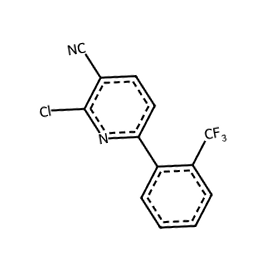 N#Cc1ccc(-c2ccccc2C(F)(F)F)nc1Cl